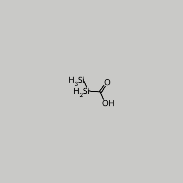 O=C(O)[SiH2][SiH3]